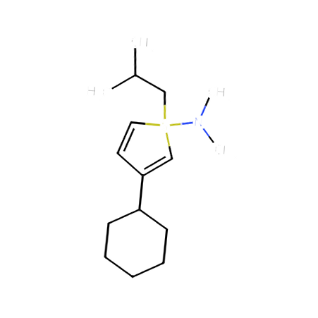 CC(C)CS1(N(C)C)C=CC(C2CCCCC2)=C1